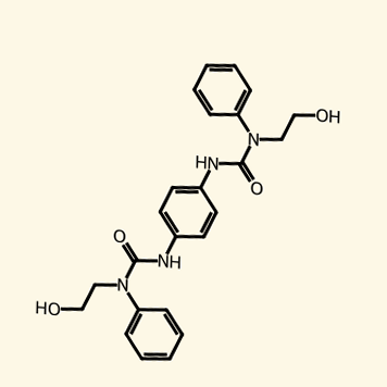 O=C(Nc1ccc(NC(=O)N(CCO)c2ccccc2)cc1)N(CCO)c1ccccc1